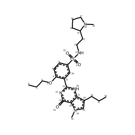 CCCOc1ccc(S(=O)(=O)NCCC2CCCN2C)cc1-c1nc(=O)c2c([nH]1)c(CCC)cn2C